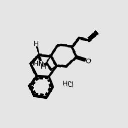 C=CCC1C[C@H]2[C@H]3Cc4ccccc4[C@@]2(CCN3)CC1=O.Cl